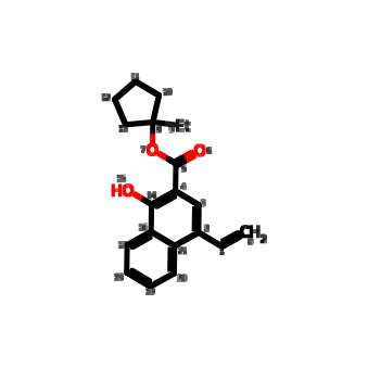 C=Cc1cc(C(=O)OC2(CC)CCCC2)c(O)c2ccccc12